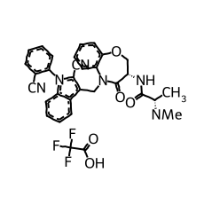 CN[C@@H](C)C(=O)N[C@H]1COc2ccccc2N(Cc2c(C#N)n(-c3ccccc3C#N)c3ccccc23)C1=O.O=C(O)C(F)(F)F